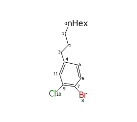 CCCCCCCCCc1ccc(Br)c(Cl)c1